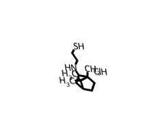 CC1(C)C2CCC1(C)C(NCCS)C2.Cl